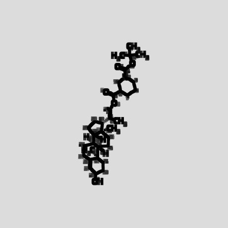 C/C(=N\OC(=O)C1CCCN(C(=O)OC(C)(C)C)C1)[C@H]1CC[C@H]2[C@@H]3CCC4=CC(O)CC[C@]4(C)[C@H]3CC[C@]12C